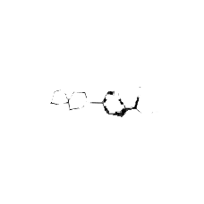 CNC(=O)c1ccc(N2CCC3(CC2)OCCO3)cn1